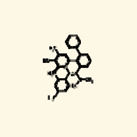 Cc1ccc(Cn2c(-c3c(C(=O)N(C)C)cccc3-c3ccccc3)cc(C(F)(F)F)c(C#N)c2=O)c(C)c1